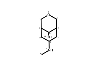 CNC1CC2COCC(C1)C2O